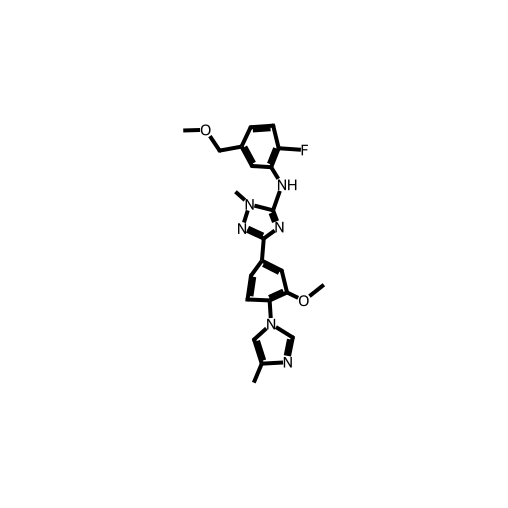 COCc1ccc(F)c(Nc2nc(-c3ccc(-n4cnc(C)c4)c(OC)c3)nn2C)c1